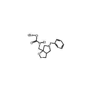 CCN(CC12CN(Cc3ccccc3)CC1CCO2)C(=O)OC(C)(C)C